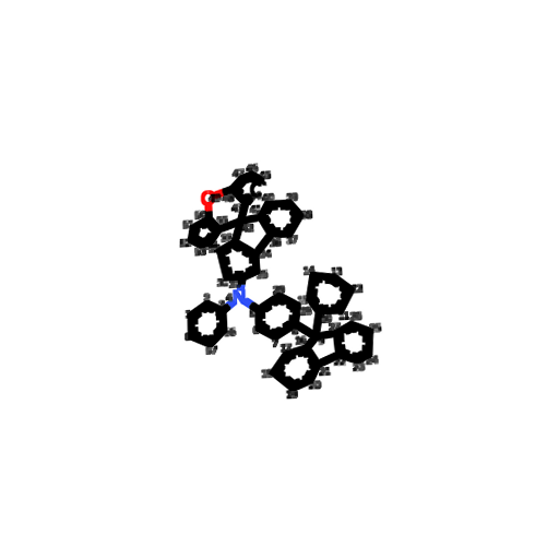 c1ccc(N(c2ccc(C3(c4ccccc4)c4ccccc4-c4ccccc43)cc2)c2ccc3c(c2)-c2ccccc2C32c3ccccc3Oc3ccccc32)cc1